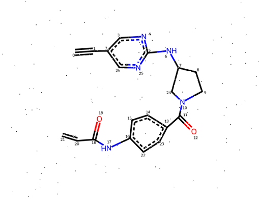 C#Cc1cnc(NC2CCN(C(=O)c3ccc(NC(=O)C=C)cc3)C2)nc1